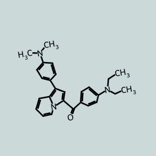 CCN(CC)c1ccc(C(=O)c2cc(-c3ccc(N(C)C)cc3)c3ccccn23)cc1